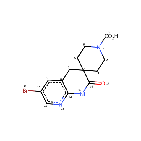 O=C(O)N1CCC2(CC1)Cc1cc(Br)cnc1NC2=O